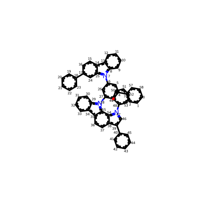 c1ccc(-c2cc(-n3c4ccccc4c4ccc(-c5ccccc5)cc43)cc(-n3c4ccccc4c4ccc5c(-c6ccccc6)cn(-c6ccccc6)c5c43)c2)cc1